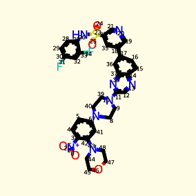 O=[N+]([O-])c1ccc(N2CCN(c3cnc4ccc(-c5cncc(S(=O)(=O)Nc6ccc(F)cc6F)c5)cc4n3)CC2)cc1N1CCOCC1